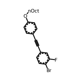 CCCCCCCCOc1ccc(C#Cc2ccc(Br)c(F)c2)cc1